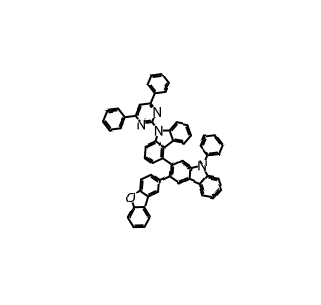 c1ccc(-c2cc(-c3ccccc3)nc(-n3c4ccccc4c4c(-c5cc6c(cc5-c5ccc7oc8ccccc8c7c5)c5ccccc5n6-c5ccccc5)cccc43)n2)cc1